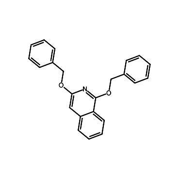 c1ccc(COc2cc3ccccc3c(OCc3ccccc3)n2)cc1